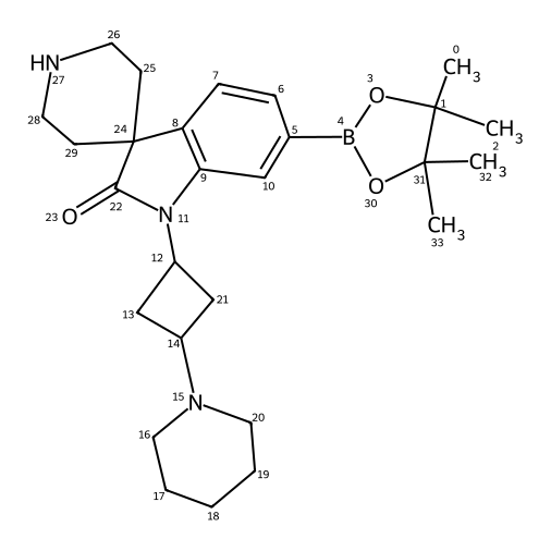 CC1(C)OB(c2ccc3c(c2)N(C2CC(N4CCCCC4)C2)C(=O)C32CCNCC2)OC1(C)C